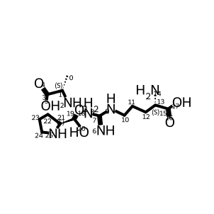 C[C@H](N)C(=O)O.N=C(N)NCCC[C@H](N)C(=O)O.O=C(O)[C@@H]1CCCN1